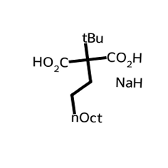 CCCCCCCCCCC(C(=O)O)(C(=O)O)C(C)(C)C.[NaH]